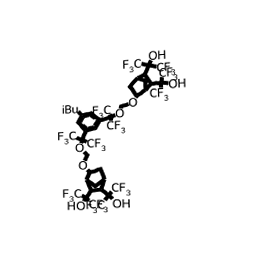 CCC(C)c1cc(C(OCOC2CC3CC2C(C(O)(C(F)(F)F)C(F)(F)F)C3C(O)(C(F)(F)F)C(F)(F)F)(C(F)(F)F)C(F)(F)F)cc(C(OCOC2CC3CC2C(C(O)(C(F)(F)F)C(F)(F)F)C3C(O)(C(F)(F)F)C(F)(F)F)(C(F)(F)F)C(F)(F)F)c1